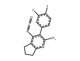 O=C=Nc1c2c(nc(C(F)(F)F)c1-c1ccc(F)c(F)c1)CCC2